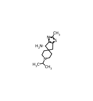 Cc1nc2c(s1)CC1(CCN(C(C)C)CC1)[C@@H]2N